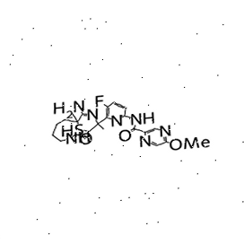 COc1cnc(C(=O)Nc2ccc(F)c(C3(C)C[SH]4(=O)NCCCCC4(C)C(N)=N3)n2)cn1